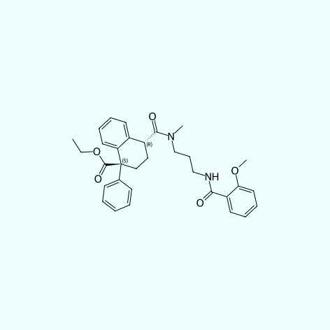 CCOC(=O)[C@]1(c2ccccc2)CC[C@@H](C(=O)N(C)CCCNC(=O)c2ccccc2OC)c2ccccc21